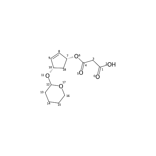 O=C(O)CC(=O)O[C@H]1C=C[C@@H](OC2CCCCO2)C1